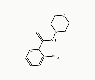 Nc1ccccc1C(=O)NN1CCOCC1